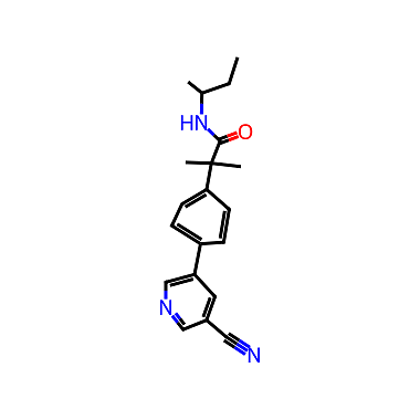 CCC(C)NC(=O)C(C)(C)c1ccc(-c2cncc(C#N)c2)cc1